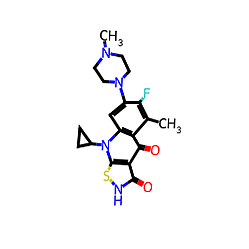 Cc1c(F)c(N2CCN(C)CC2)cc2c1c(=O)c1c(=O)[nH]sc1n2C1CC1